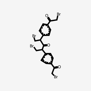 O=C(CBr)c1ccc(C(CBr)C(=O)C(CBr)c2ccc(C(=O)CBr)cc2)cc1